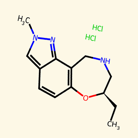 CC[C@@H]1CNCc2c(ccc3cn(C)nc23)O1.Cl.Cl